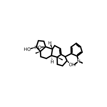 CN(C)c1ccccc1C1C2=CC[C@@H]3[C@H](CC[C@]4(C)[C@@H](O)CC[C@]34O)[C@@]2(C)CC[C@@H]1O